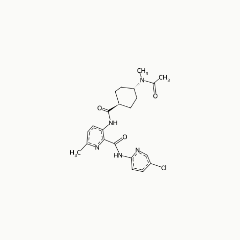 CC(=O)N(C)[C@H]1CC[C@H](C(=O)Nc2ccc(C)nc2C(=O)Nc2ccc(Cl)cn2)CC1